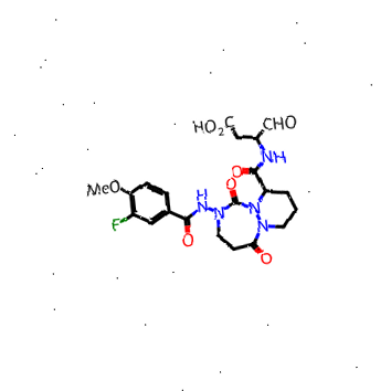 COc1ccc(C(=O)NN2CCC(=O)N3CCCC(C(=O)NC(C=O)CC(=O)O)N3C2=O)cc1F